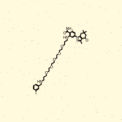 Cc1nn(-c2ccc(C(N)=O)c(NCCCOCCOCCOCCOCCOCCCNCc3cccc(I)c3)c2)c2c1C(=O)CC(C)(C)C2